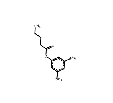 CCCCC(=O)Oc1cc(N)cc(N)c1